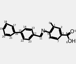 Cc1cc(C(=O)O)ccc1/N=C/c1ccc(-c2ccccc2)cc1